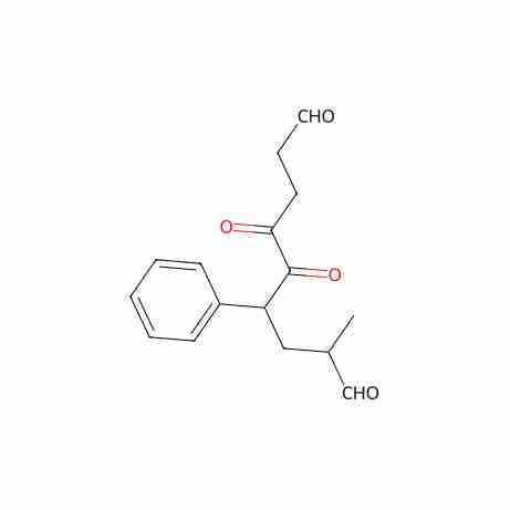 CC(C=O)CC(C(=O)C(=O)CCC=O)c1ccccc1